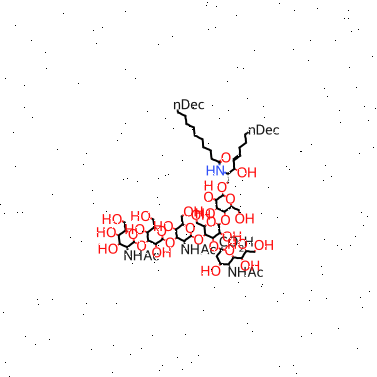 CCCCCCCCCCCCC/C=C/[C@@H](O)[C@H](CO[C@@H]1OC(CO)[C@@H](O[C@@H]2OC(CO)[C@H](O[C@@H]3OC(CO)[C@H](O)[C@H](O[C@@H]4OC(CO)[C@H](O)[C@H](O[C@@H]5OC(CO)[C@H](O)[C@H](O)C5NC(C)=O)C4O)C3NC(C)=O)[C@H](O[C@]3(C(=O)O)CC(O)[C@@H](NC(C)=O)C([C@H](O)[C@H](O)CO)O3)C2O)[C@H](O)C1O)NC(=O)CCCCCCCCCCCCCCCCCCC